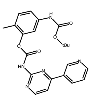 Cc1ccc(NC(=O)OC(C)(C)C)cc1OC(=O)Nc1nccc(-c2cccnc2)n1